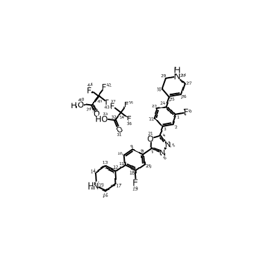 Fc1cc(-c2nnc(-c3ccc(C4=CCNCC4)c(F)c3)o2)ccc1C1=CCNCC1.O=C(O)C(F)(F)F.O=C(O)C(F)(F)F